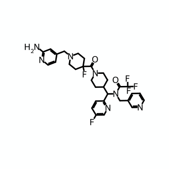 Nc1cc(CN2CCC(F)(C(=O)N3CCC(C(c4ccc(F)cn4)N(Cc4cccnc4)C(=O)C(F)(F)F)CC3)CC2)ccn1